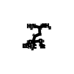 CCOC(C)(CCC(N)N)OCC